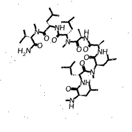 CN[C@H](CC(C)C)C(=O)N[C@H](CC(C)C)C(=O)N(C)[C@H](CC(C)C)C(=O)N[C@H](C)C(=O)N[C@H](C)C(=O)N(C)[C@@H](CC(C)C)C(=O)N[C@@H](CC(C)C)C(=O)N(C)[C@H](C(N)=O)C(C)C